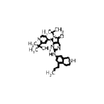 C=CCc1cc(Nc2ncc3c(=O)n(C(C)C)n(-c4ccnc(C(C)(C)C)c4)c3n2)cc2c1CCNC2